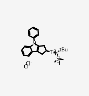 C[SiH](C)[N]([Ti+2][CH]1Cc2c(n(-c3ccccc3)c3ccccc23)C1)C(C)(C)C.[Cl-].[Cl-]